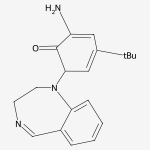 CC(C)(C)C1=CC(N2CCN=Cc3ccccc32)C(=O)C(N)=C1